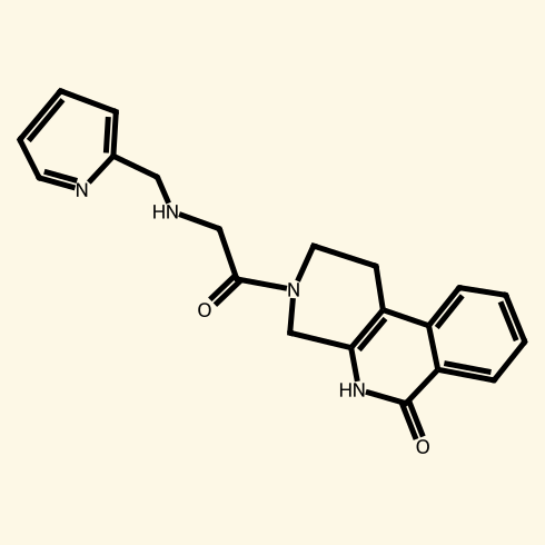 O=C(CNCc1ccccn1)N1CCc2c([nH]c(=O)c3ccccc23)C1